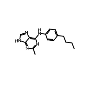 CCCCc1ccc(Nc2nc(C)nc3[nH]cnc23)cc1